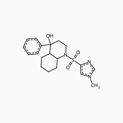 Cn1cnc(S(=O)(=O)N2CCC(O)(c3ccccc3)C3CCCCC32)c1